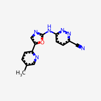 Cc1ccc(-c2cnc(Nc3ccc(C#N)nn3)o2)nc1